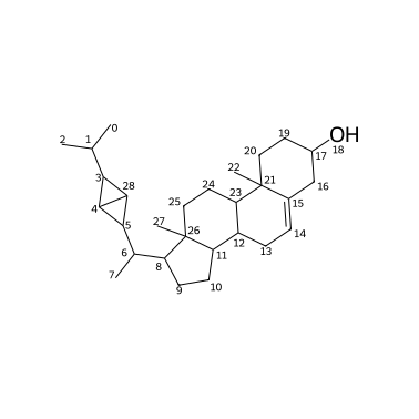 CC(C)C1C2C(C(C)C3CCC4C5CC=C6CC(O)CCC6(C)C5CCC34C)C12